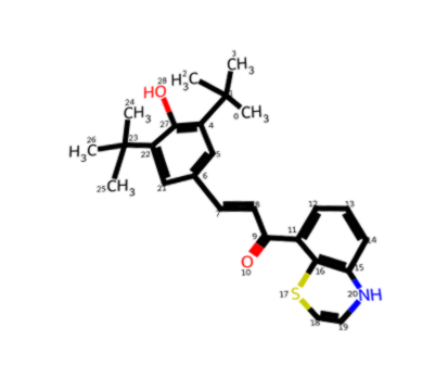 CC(C)(C)c1cc(C=CC(=O)c2cccc3c2SC=CN3)cc(C(C)(C)C)c1O